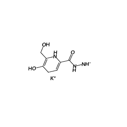 [K+].[NH-]NC(=O)C1=CCC(O)=C(CO)N1